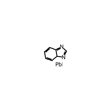 C1=CC2=NC=NC2C=C1.[Pb]